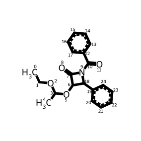 CCOC(C)OC1C(=O)N(C(=O)c2ccccc2)C1c1ccccc1